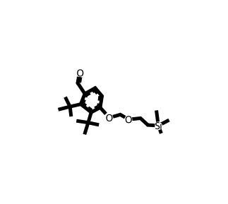 CC(C)(C)c1c(C=O)ccc(OCOCC[Si](C)(C)C)c1C(C)(C)C